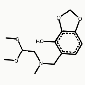 COC(CN(C)Cc1ccc2c(c1O)OCO2)OC